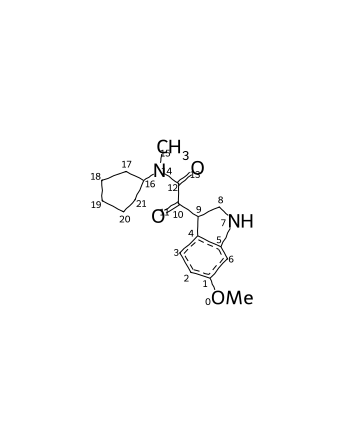 COc1ccc2c(c1)NCC2C(=O)C(=O)N(C)C1CCCCC1